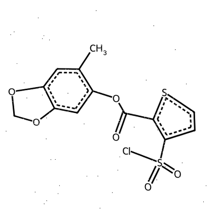 Cc1cc2c(cc1OC(=O)c1sccc1S(=O)(=O)Cl)OCO2